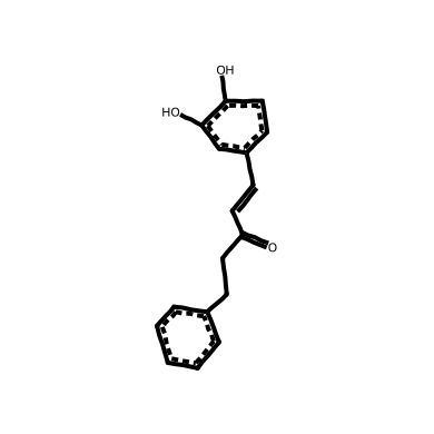 O=C(/C=C/c1ccc(O)c(O)c1)CCc1ccccc1